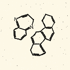 C1=CCC2=CCc3c(ccc4c3CCC=C4)C2=C1.C1=CN=c2ccccc2=NC1